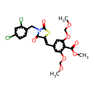 COCOc1cc(/C=C2\SC(=O)N(Cc3ccc(Cl)cc3Cl)C2=O)cc(OCOC)c1C(=O)OC